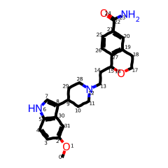 COc1ccc2[nH]cc(C3CCN(CCC4OCCc5cc(C(N)=O)ccc54)CC3)c2c1